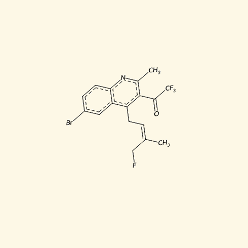 CC(=CCc1c(C(=O)C(F)(F)F)c(C)nc2ccc(Br)cc12)CF